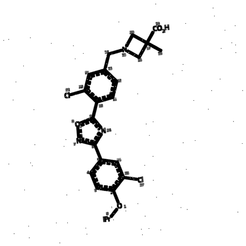 CC(C)Oc1ccc(-c2noc(-c3ccc(CN4CC(C)(C(=O)O)C4)cc3Cl)n2)cc1Cl